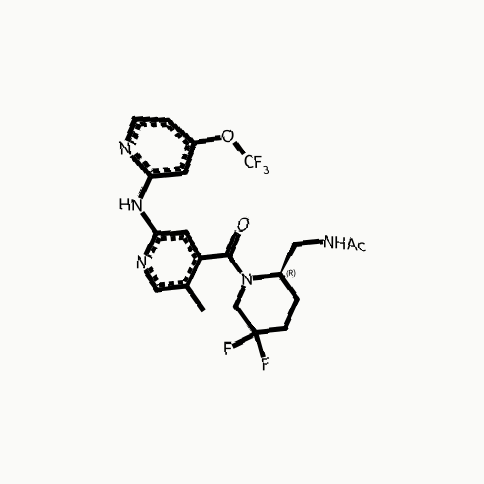 CC(=O)NC[C@H]1CCC(F)(F)CN1C(=O)c1cc(Nc2cc(OC(F)(F)F)ccn2)ncc1C